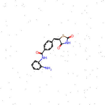 Nc1ccccc1NC(=O)c1ccc(C=C2SC(=O)NC2=O)cc1